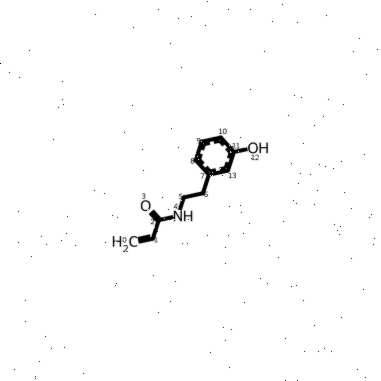 C=CC(=O)NCCc1cccc(O)c1